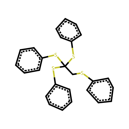 c1ccc(SCC(Sc2ccccc2)(Sc2ccccc2)Sc2ccccc2)cc1